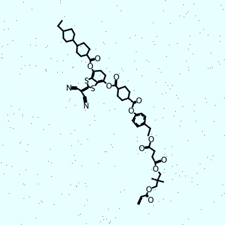 C=CC(=O)OCC(C)(C)COC(=O)CCC(=O)OCCc1ccc(OC(=O)C2CCC(C(=O)OC3=C4SC(=C(C#N)C#N)SC4=C(OC(=O)C4CCC(C5CCC(CC)CC5)CC4)CC3)CC2)cc1